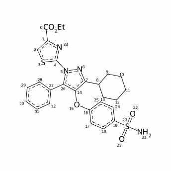 CCOC(=O)c1csc(-n2nc(C3CCCCC3)c(Oc3ccc(S(N)(=O)=O)cc3)c2-c2ccccc2)n1